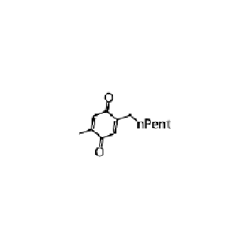 CCCCCCC1=CC(=O)C(C)=CC1=O